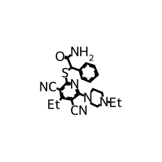 CCc1c(C#N)c(SC(C(N)=O)c2ccccc2)nc(N2CCN(CC)CC2)c1C#N